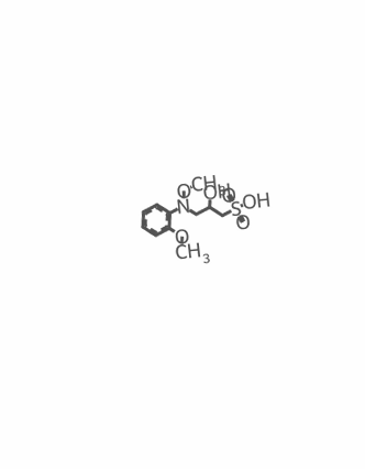 COc1ccccc1N(CC(O)CS(=O)(=O)O)OC